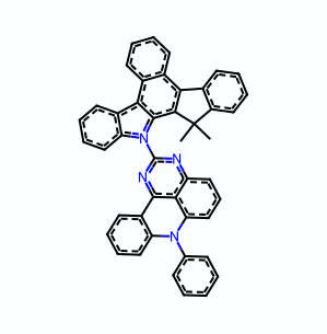 CC1(C)c2ccccc2-c2c1c1c(c3ccccc23)c2ccccc2n1-c1nc2c3c(cccc3n1)N(c1ccccc1)c1ccccc1-2